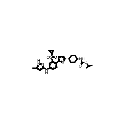 Cc1cc(Nc2ccc(-c3ccc([C@H]4CC[C@H](NC(=O)OC(C)C)CC4)s3)c(S(=O)(=O)C3CC3)c2)n[nH]1